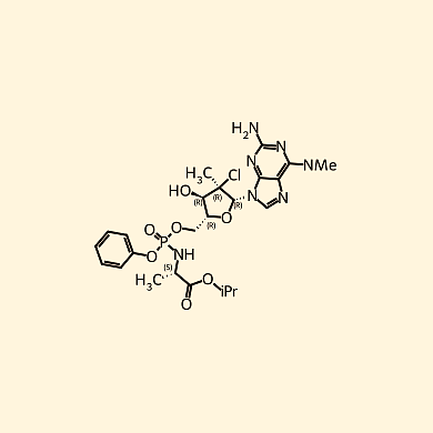 CNc1nc(N)nc2c1ncn2[C@@H]1O[C@H](COP(=O)(N[C@@H](C)C(=O)OC(C)C)Oc2ccccc2)[C@@H](O)[C@@]1(C)Cl